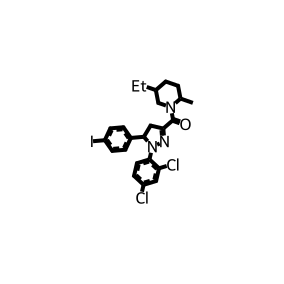 CCC1CCC(C)N(C(=O)C2=NN(c3ccc(Cl)cc3Cl)C(c3ccc(I)cc3)C2)C1